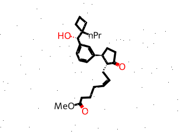 CCCC1([C@@H](O)c2cccc([C@H]3CCC(=O)[C@@H]3C/C=C\CCCC(=O)OC)c2)CCC1